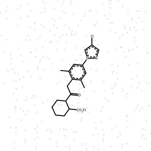 CCOC(=O)C1CCCCC1C(=O)Cc1c(C)cc(-n2cc(Cl)cn2)cc1C